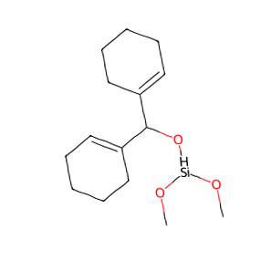 CO[SiH](OC)OC(C1=CCCCC1)C1=CCCCC1